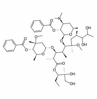 CC[C@@H](OC(=O)[C@H](C)[C@@H](O[C@H]1C[C@@](C)(OC)[C@@H](OC(=O)c2ccccc2)[C@H](C)O1)[C@H](C)[C@@H](O[C@@H]1O[C@H](C)C[C@H](N(C)C)[C@H]1OC(=O)c1ccccc1)[C@@](C)(C[C@@H](C)C(O)C(C)O)OC)[C@@](C)(O)CO